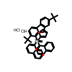 Cl.Cl.[CH2]=[Zr]([C]1=CC=CC1)([c]1c(C(C)(C)C)ccc2c1Cc1cc(C(C)(C)C)ccc1-2)([c]1cccc2ccccc12)[c]1cccc2ccccc12